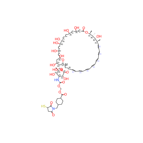 C[C@@H]1[C@H](O)[C@@H](C)/C=C/C=C/C=C/C=C/C=C/C=C/C=C/[C@H](O[C@@H]2O[C@H](C)[C@@H](O)[C@H](NC(=O)OCOC(=O)C3CCC(CN4C(=O)CC(S)C4=O)CC3)[C@@H]2O)C[C@@H]2O[C@](O)(C[C@@H](O)C[C@@H](O)[C@H](O)CC[C@@H](O)C[C@@H](O)CC(=O)O[C@H]1C)C[C@H](O)[C@H]2C(=O)O